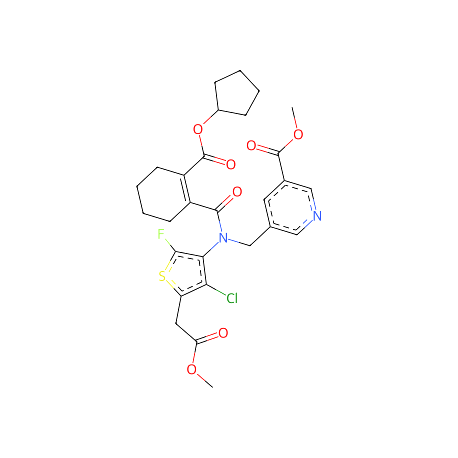 COC(=O)Cc1sc(F)c(N(Cc2cncc(C(=O)OC)c2)C(=O)C2=C(C(=O)OC3CCCC3)CCCC2)c1Cl